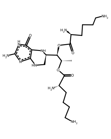 C[C@H](OC(=O)[C@@H](N)CCCCN)[C@H](OC(=O)[C@@H](N)CCCCN)[C@H]1CNc2nc(N)[nH]c(=O)c2N1